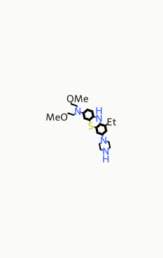 CCc1cc(N2CCNCC2)cc2c1Nc1ccc(N(CCOC)CCOC)cc1S2